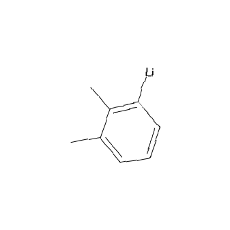 [Li][c]1cccc(C)c1C